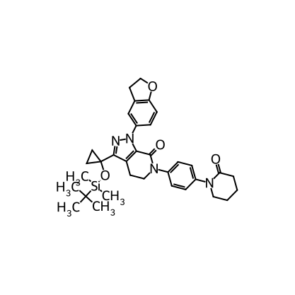 CC(C)(C)[Si](C)(C)OC1(c2nn(-c3ccc4c(c3)CCO4)c3c2CCN(c2ccc(N4CCCCC4=O)cc2)C3=O)CC1